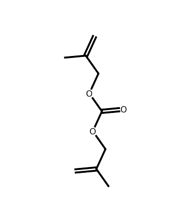 C=C(C)COC(=O)OCC(=C)C